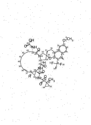 COc1ccc2nc(C(F)(F)F)c3c(c2c1)CC[C@]1(C[C@H]2C(=O)N[C@]4(C(=O)NS(=O)(=O)C5(C)CC5)C[C@H]4/C=C\CCCCC[C@H](NC(=O)O)C(=O)N2C1)O3